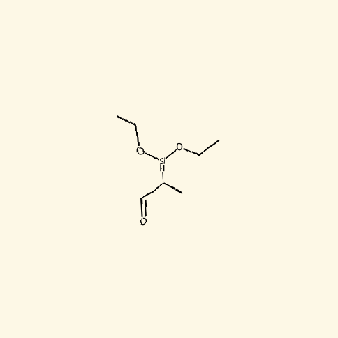 CCO[SiH](OCC)C(C)C=O